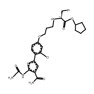 CC(C)C[C@H](NCCCOc1ccc(-c2cc(C(N)=O)c(NC(N)=O)s2)c(Cl)c1)C(=O)OC1CCCC1